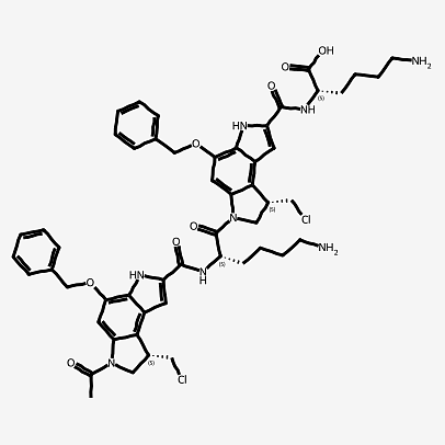 CC(=O)N1C[C@@H](CCl)c2c1cc(OCc1ccccc1)c1[nH]c(C(=O)N[C@@H](CCCCN)C(=O)N3C[C@@H](CCl)c4c3cc(OCc3ccccc3)c3[nH]c(C(=O)N[C@@H](CCCCN)C(=O)O)cc43)cc21